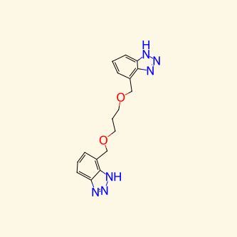 c1cc(COCCCOCc2cccc3[nH]nnc23)c2[nH]nnc2c1